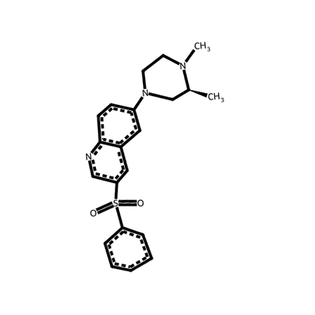 C[C@H]1CN(c2ccc3ncc(S(=O)(=O)c4ccccc4)cc3c2)CCN1C